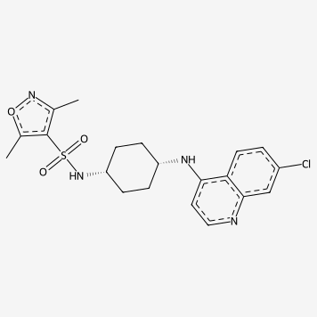 Cc1noc(C)c1S(=O)(=O)N[C@H]1CC[C@@H](Nc2ccnc3cc(Cl)ccc23)CC1